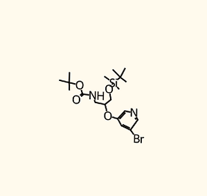 CC(C)(C)OC(=O)NCC(CO[Si](C)(C)C(C)(C)C)Oc1cncc(Br)c1